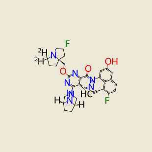 [2H]C1([2H])CC[C@@]2(COc3nc(N4C[C@H]5CC[C@@H](C4)N5)c4cnn(-c5cc(O)cc6ccc(F)c(C#C)c56)c(=O)c4n3)C[C@@H](F)CN12